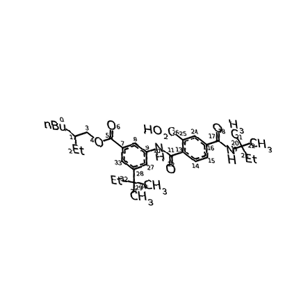 CCCCC(CC)COC(=O)c1cc(NC(=O)c2ccc(C(=O)NC(C)(C)CC)cc2C(=O)O)cc(C(C)(C)CC)c1